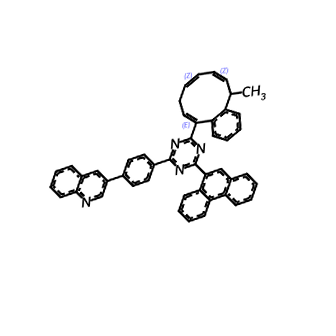 CC1/C=C\C=C/C/C=C(/c2nc(-c3ccc(-c4cnc5ccccc5c4)cc3)nc(-c3cc4ccccc4c4ccccc34)n2)c2ccccc21